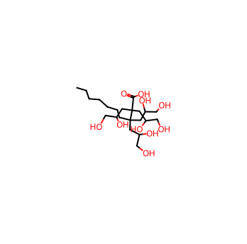 CCCCCCCC(CC(O)CO)(CC(O)CO)C(CC(O)CO)(CC(O)CO)C(=O)O